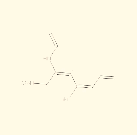 C=C/C=C(\C=C(/CNC)NC=C)C(C)C